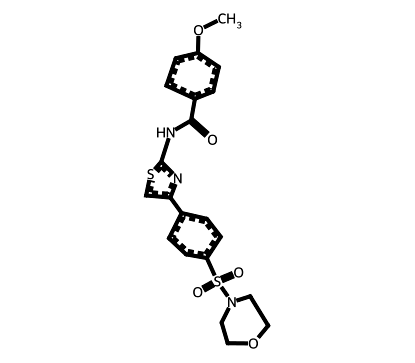 COc1ccc(C(=O)Nc2nc(-c3ccc(S(=O)(=O)N4CCOCC4)cc3)cs2)cc1